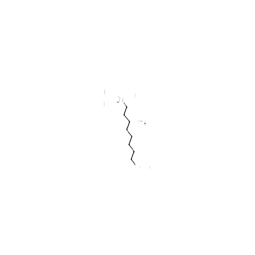 Br.CCCCCCCCCCCCCCCC[N+](C)(C)C.[Ca+2]